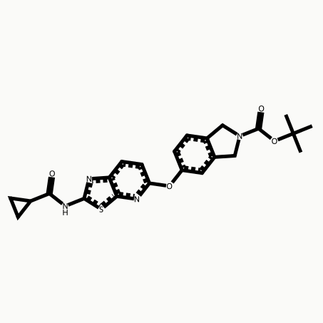 CC(C)(C)OC(=O)N1Cc2ccc(Oc3ccc4nc(NC(=O)C5CC5)sc4n3)cc2C1